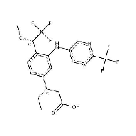 CC[C@@H](CC(=O)O)c1ccc([C@H](OC)C(F)(F)F)c(Nc2cnc(C(F)(F)F)nc2)c1